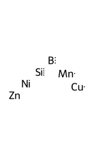 [B].[Cu].[Mn].[Ni].[Si].[Zn]